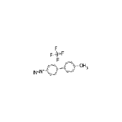 Cc1ccc(-c2ccc([N+]#N)cc2)cc1.F[B-](F)(F)F